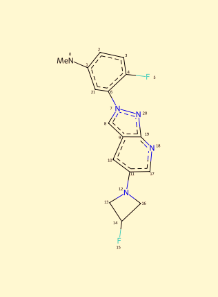 CNc1ccc(F)c(-n2cc3cc(N4CC(F)C4)cnc3n2)c1